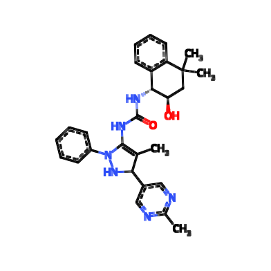 CC1=C(NC(=O)N[C@@H]2c3ccccc3C(C)(C)C[C@H]2O)N(c2ccccc2)NC1c1cnc(C)nc1